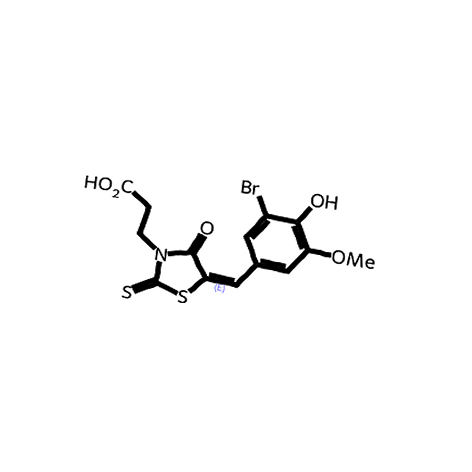 COc1cc(/C=C2/SC(=S)N(CCC(=O)O)C2=O)cc(Br)c1O